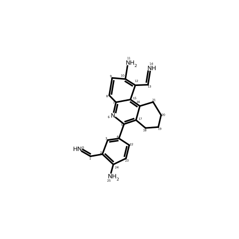 N=Cc1cc(-c2nc3ccc(N)c(C=N)c3c3c2CCCC3)ccc1N